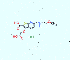 COCCNCc1ccc2c(OCC(=O)O)c(C(=O)O)sc2n1.Cl